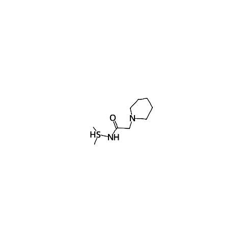 C[SH](C)NC(=O)CN1CCCCC1